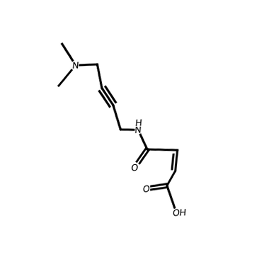 CN(C)CC#CCNC(=O)/C=C\C(=O)O